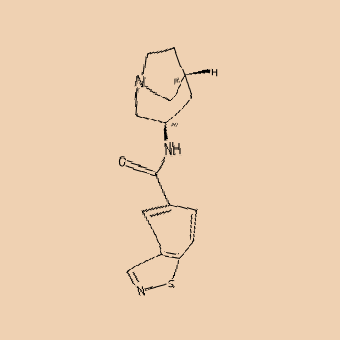 O=C(N[C@@H]1C[C@H]2CCN(C2)C1)c1ccc2sncc2c1